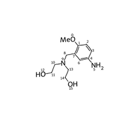 COc1ccc(N)cc1CN(CCO)CCO